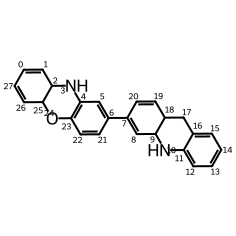 C1=CC2Nc3cc(C4=CC5Nc6ccccc6CC5C=C4)ccc3OC2C=C1